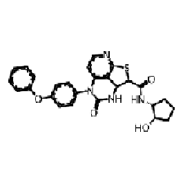 O=C(N[C@@H]1CCC[C@H]1O)C1Sc2nccc3c2C1NC(=O)N3c1ccc(Oc2ccccc2)cc1